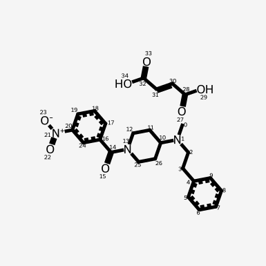 CN(CCc1ccccc1)C1CCN(C(=O)c2cccc([N+](=O)[O-])c2)CC1.O=C(O)C=CC(=O)O